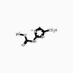 CC(C)OC(=O)Nc1nc(C(=O)O)cs1